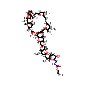 C=CCOC(=O)NC[C@H]1O[C@@H]2[C@H](C[C@H]1O)O[C@@]1(C[C@@H]2C)C[C@H](C)[C@@H]2O[C@]3(C[C@@H]2O1)C[C@H]1O[C@H]2[C@H](C)[C@H]4OC(=O)C[C@H]5CC[C@@H]6O[C@@H]7[C@H]8O[C@@H]9C[C@](CC[C@H]%10CC(=C)[C@H](CC[C@H]%11C[C@@H](C)C(=C)[C@@H](C[C@@H]4O[C@H]2C[C@H]1O3)O%11)O%10)(O[C@H]8[C@H]6O5)O[C@]79C